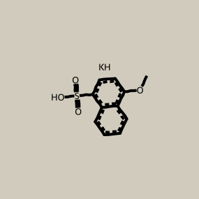 COc1ccc(S(=O)(=O)O)c2ccccc12.[KH]